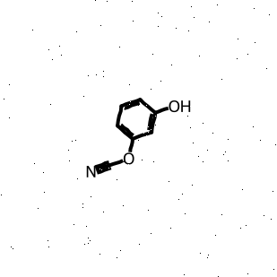 N#COc1cccc(O)c1